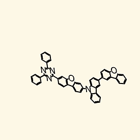 c1ccc(-c2nc(-c3ccccc3)nc(-c3ccc4c(c3)oc3cc(-n5c6ccccc6c6cc(-c7ccc8oc9ccccc9c8c7)ccc65)ccc34)n2)cc1